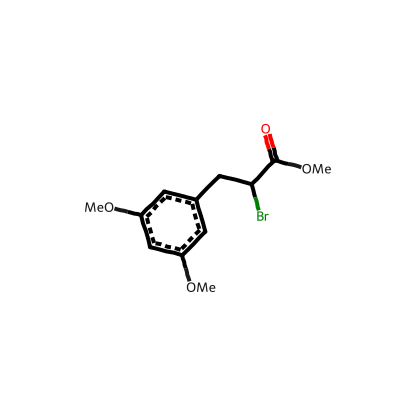 COC(=O)C(Br)Cc1cc(OC)cc(OC)c1